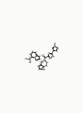 Cn1cc(-c2nnc(C(=O)N3CCc4[nH]cnc4[C@@H]3c3cc4cccc(C(F)F)n4n3)o2)cn1